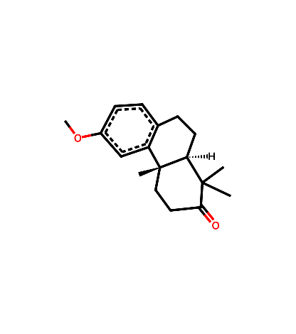 COc1ccc2c(c1)[C@@]1(C)CCC(=O)C(C)(C)[C@@H]1CC2